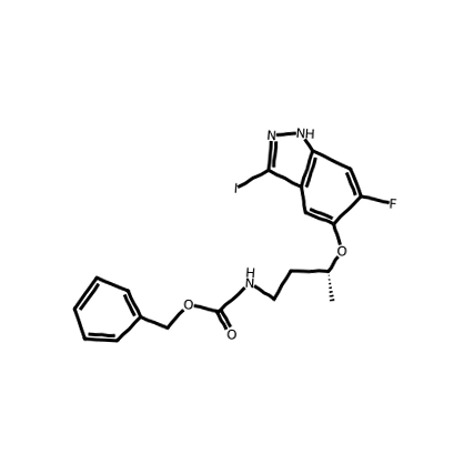 C[C@H](CCNC(=O)OCc1ccccc1)Oc1cc2c(I)n[nH]c2cc1F